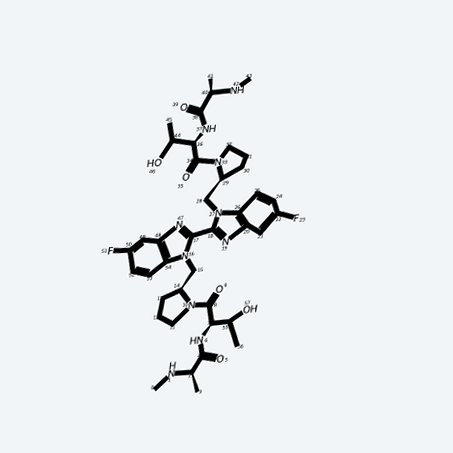 CN[C@H](C)C(=O)N[C@@H](C(=O)N1CCC[C@H]1Cn1c(-c2nc3cc(F)ccc3n2C[C@@H]2CCCN2C(=O)[C@H](NC(=O)[C@@H](C)NC)C(C)O)nc2cc(F)ccc21)C(C)O